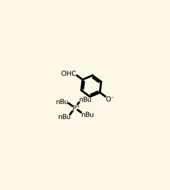 CCCC[P+](CCCC)(CCCC)CCCC.O=Cc1ccc([O-])cc1